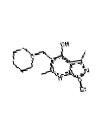 CCn1nc(C)c2c(O)c(CN3CCCCC3)c(C)nc21